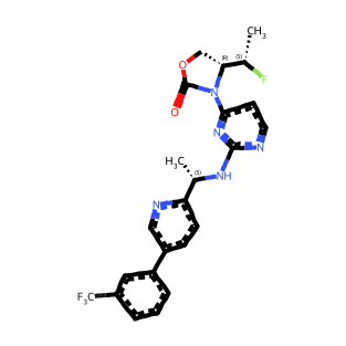 C[C@H](Nc1nccc(N2C(=O)OC[C@@H]2[C@H](C)F)n1)c1ccc(-c2cccc(C(F)(F)F)c2)cn1